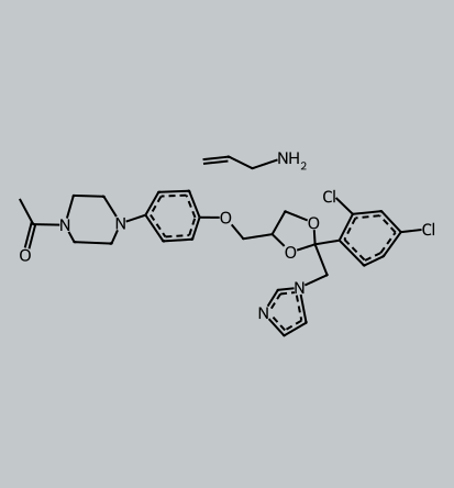 C=CCN.CC(=O)N1CCN(c2ccc(OCC3COC(Cn4ccnc4)(c4ccc(Cl)cc4Cl)O3)cc2)CC1